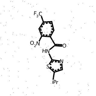 CC(C)c1cnc(NC(=O)c2ccc(C(F)(F)F)cc2[N+](=O)[O-])s1